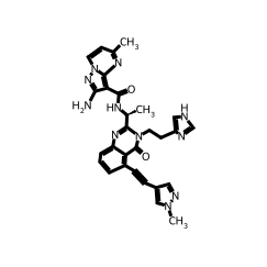 Cc1ccn2nc(N)c(C(=O)N[C@@H](C)c3nc4cccc(C#Cc5cnn(C)c5)c4c(=O)n3CCc3c[nH]cn3)c2n1